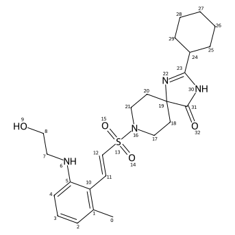 Cc1cccc(NCCO)c1C=CS(=O)(=O)N1CCC2(CC1)N=C(C1CCCCC1)NC2=O